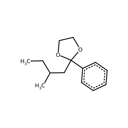 CCC(C)CC1(c2ccccc2)OCCO1